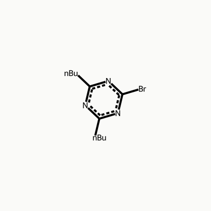 CCCCc1nc(Br)nc(CCCC)n1